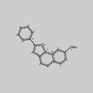 COc1ccc2ccc3nc(-c4ccccc4)oc3c2c1